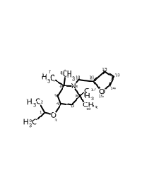 CC(C)OC1CC(C)(C)N(CC2CCCO2)C(C)(C)C1